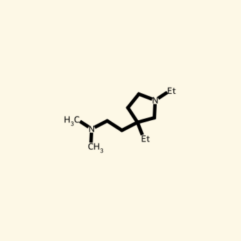 CCN1CCC(CC)(CCN(C)C)C1